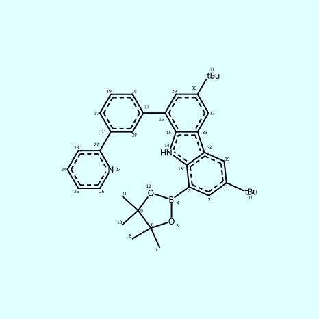 CC(C)(C)c1cc(B2OC(C)(C)C(C)(C)O2)c2[nH]c3c(-c4cccc(-c5ccccn5)c4)cc(C(C)(C)C)cc3c2c1